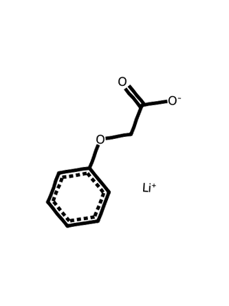 O=C([O-])COc1ccccc1.[Li+]